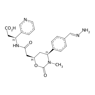 CN1C(=O)O[C@@H](CC(=O)N[C@@H](CC(=O)O)c2cccnc2)C[C@H]1c1ccc(C=NN)cc1